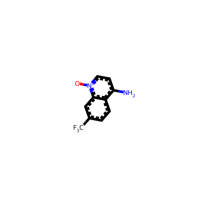 Nc1cc[n+]([O-])c2cc(C(F)(F)F)ccc12